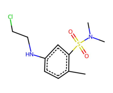 Cc1ccc(NCCCl)cc1S(=O)(=O)N(C)C